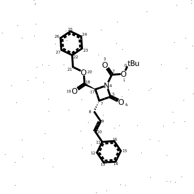 CC(C)(C)OC(=O)N1C(=O)[C@H](CC=Cc2ccccc2)[C@H]1C(=O)OCc1ccccc1